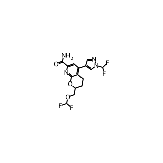 NC(=O)c1cc(-c2cnn(C(F)F)c2)c2c(n1)OC(COC(F)F)CC2